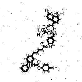 CC(C)(C)[Si](C)(C)O[C@H](CNCc1ccc(NC(=O)CC/C=C/c2ccc(-c3ccccc3)c(NC(=O)OC3CCC(N)CC3)c2)cc1)c1ccc(O)c2[nH]c(=O)ccc12